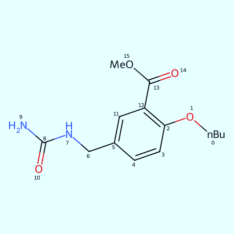 CCCCOc1ccc(CNC(N)=O)cc1C(=O)OC